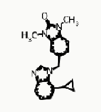 Cn1c(=O)n(C)c2cc(Cn3cnc4cccc(C5CC5)c43)ccc21